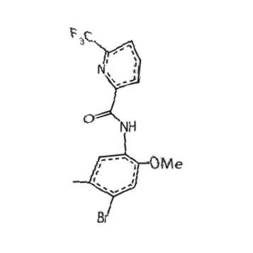 COc1cc(Br)c(C)cc1NC(=O)c1cccc(C(F)(F)F)n1